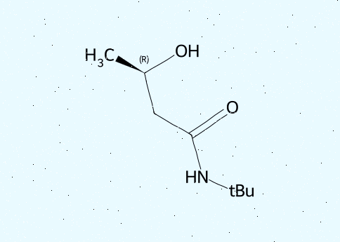 C[C@@H](O)CC(=O)NC(C)(C)C